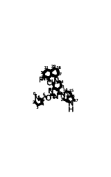 CN1CCC[C@H]1COc1nc2c(c(N3CCC4CNC(C4)C3)n1)CCN(c1cccc3ccc(F)c(Cl)c13)C2